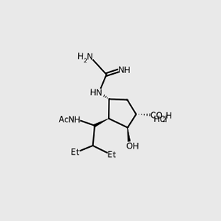 CCC(CC)C(NC(C)=O)[C@@H]1[C@H](O)[C@@H](C(=O)O)C[C@H]1NC(=N)N.Cl